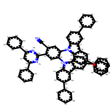 N#Cc1cc(-n2c3ccc(-c4ccccc4)cc3c3cc(-c4ccccc4)ccc32)c(-n2c3ccc(-c4ccccc4)cc3c3cc(-c4ccccc4)ccc32)cc1-c1nc(-c2ccccc2)cc(-c2ccccc2)n1